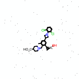 Cc1cc(C2CN(c3c(Cl)cccc3Cl)C2)cc(C2CC2)c1CN1CCC(C(=O)O)CC1.O=CO